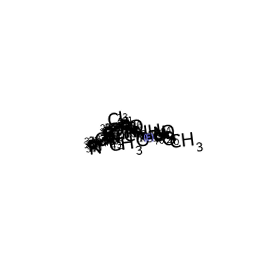 CCOC(=O)c1ccc(/C=C/C(=O)NCC(=O)N(C)c2ccc(Cl)c(COc3cccc4c(OCc5ccccn5)cc(C)nc34)c2Cl)cn1